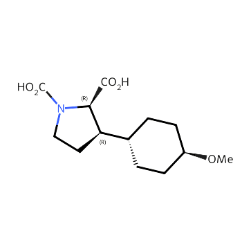 CO[C@H]1CC[C@H]([C@H]2CCN(C(=O)O)[C@H]2C(=O)O)CC1